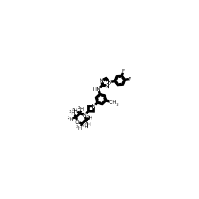 [2H]C1([2H])OC([2H])([2H])C([2H])([2H])N(C2CN(c3cc(C)cc(Nc4ncn(-c5ccc(F)c(F)c5)n4)c3)C2)C1([2H])[2H]